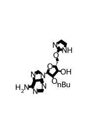 CCCCO[C@@H]1[C@H](O)[C@@H](COc2ncc[nH]2)O[C@H]1n1cnc2c(N)ncnc21